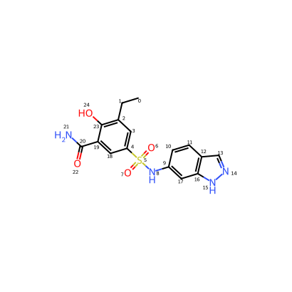 CCc1cc(S(=O)(=O)Nc2ccc3cn[nH]c3c2)cc(C(N)=O)c1O